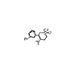 CN(C)C1=C(c2cccc(Br)c2)CS(=O)(=O)CC1